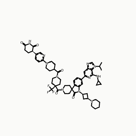 CC(C)n1cnc2cc(-c3ccc4c(c3)N(C3CC(N5CCCCC5)C3)C(=O)C43CCN(C(=O)C4(C(F)(F)F)CCN(C(=O)C5CCN(c6ccc([C@H]7CCC(=O)NC7=O)cn6)CC5)CC4)CC3)nc(NC3CC3)c21